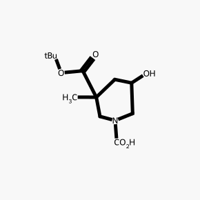 CC(C)(C)OC(=O)C1(C)CC(O)CN(C(=O)O)C1